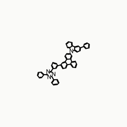 c1ccc(-c2ccc3c(c2)c2ccccc2n3-c2ccc3c4cc(-c5cccc(-c6nc(-c7ccccc7)nc(-c7ccccc7)n6)c5)ccc4c4ccccc4c3c2)cc1